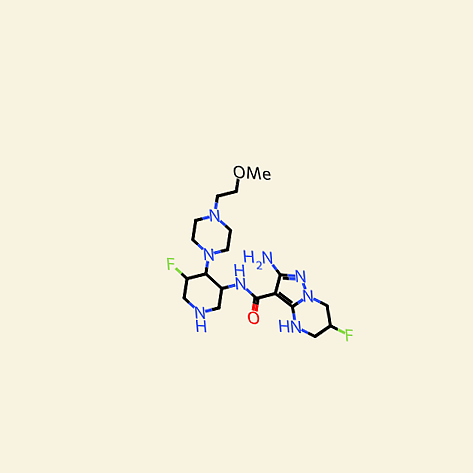 COCCN1CCN(C2C(F)CNCC2NC(=O)c2c(N)nn3c2NCC(F)C3)CC1